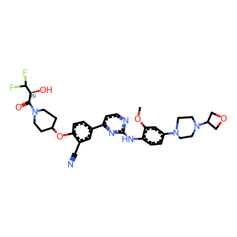 COc1cc(N2CCN(C3COC3)CC2)ccc1Nc1nccc(-c2ccc(OC3CCN(C(=O)[C@H](O)C(F)F)CC3)c(C#N)c2)n1